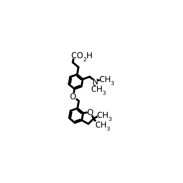 CN(C)Cc1cc(OCc2cccc3c2OC(C)(C)C3)ccc1CCC(=O)O